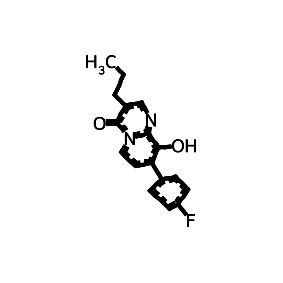 CCCc1cnc2c(O)c(-c3ccc(F)cc3)ccn2c1=O